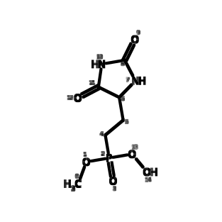 COP(=O)(CCC1NC(=O)NC1=O)OO